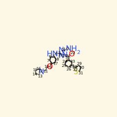 Nc1nc(Nc2ccc(OCCN3CCCC3)cc2)nn1C(=O)c1cccc(-c2cccs2)c1